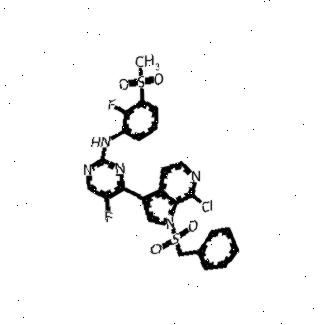 CS(=O)(=O)c1cccc(Nc2ncc(F)c(-c3cn(S(=O)(=O)Cc4ccccc4)c4c(Cl)nccc34)n2)c1F